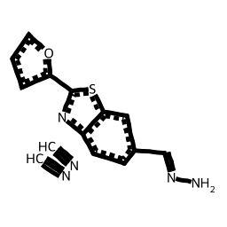 C#N.C#N.NN=Cc1ccc2nc(-c3ccco3)sc2c1